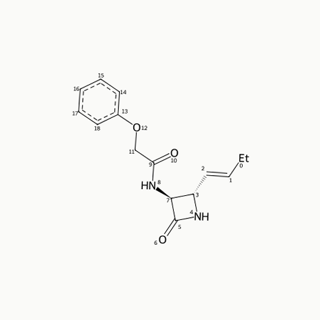 CC/C=C/[C@@H]1NC(=O)[C@H]1NC(=O)COc1ccccc1